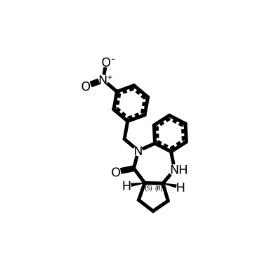 O=C1[C@H]2CCC[C@H]2Nc2ccccc2N1Cc1cccc([N+](=O)[O-])c1